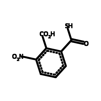 O=C(S)c1cccc([N+](=O)[O-])c1C(=O)O